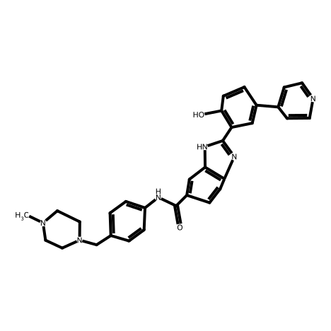 CN1CCN(Cc2ccc(NC(=O)c3ccc4nc(-c5cc(-c6ccncc6)ccc5O)[nH]c4c3)cc2)CC1